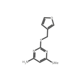 CSc1cc(N)nc(SCc2ccoc2)n1